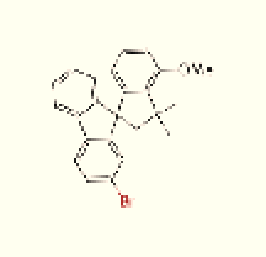 COc1cccc2c1C(C)(C)CC21c2ccccc2-c2ccc(Br)cc21